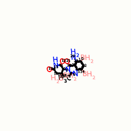 Bc1cc(B)c2nc(C)n(C3C(=O)NC(=O)CC3(B)B)c(=O)c2c1N